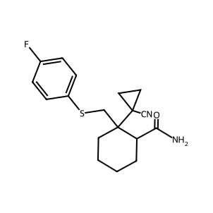 N#CC1(C2(CSc3ccc(F)cc3)CCCCC2C(N)=O)CC1